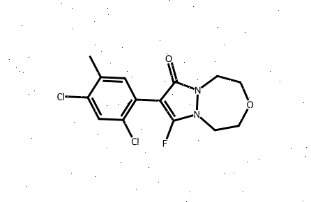 Cc1cc(-c2c(F)n3n(c2=O)CCOCC3)c(Cl)cc1Cl